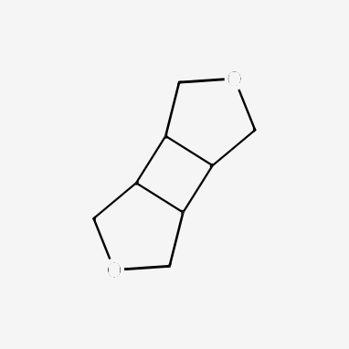 C1OCC2C1C1COCC21